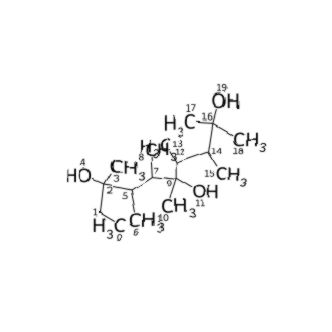 CCC(C)(O)C(C)C(C)C(C)(O)C(C)C(C)C(C)(C)O